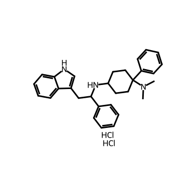 CN(C)C1(c2ccccc2)CCC(NC(Cc2c[nH]c3ccccc23)c2ccccc2)CC1.Cl.Cl